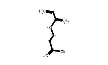 C=CC(=C)OCCC(=O)Cl